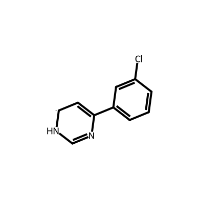 Clc1cccc(C2=C[CH]NC=N2)c1